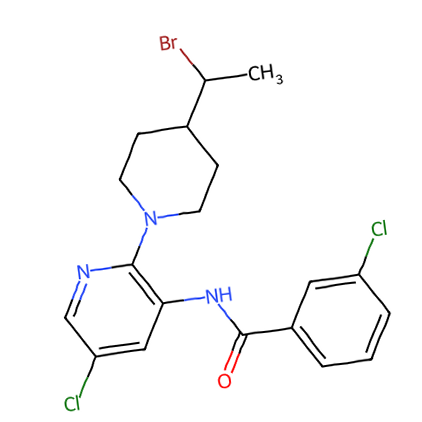 CC(Br)C1CCN(c2ncc(Cl)cc2NC(=O)c2cccc(Cl)c2)CC1